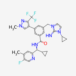 Cc1cc([C@@H](NC(=O)c2cc(Cn3ccn(C4CC4)c3=N)cc(-c3cn(C)nc3C(F)(F)F)c2)C2CC2)ncc1F